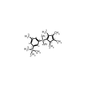 CCC[Si](CCC)(C1=C(C)C(C)=C(C)C1C)c1cc(C)cc([Si](C)(C)C)c1